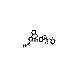 CC(C)(O)c1ccc(-c2ccccc2)c(C(=O)Nc2ccc3c(c2)CCN3C(=O)Cc2ccccn2)c1